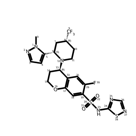 Cn1nccc1[C@@H]1C[C@H](C(F)(F)F)CCN1[C@@H]1CCOc2cc(S(=O)(=O)Nc3ncns3)c(F)cc21